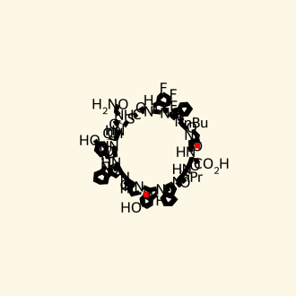 CCCC[C@H]1C(=O)N2CCC[C@@H]2C(=O)N[C@@H](CC(=O)O)C(=O)N[C@@H](C(C)C)C(=O)N(C)C(Cc2ccccc2)C(=O)N[C@@H](Cc2ccc(O)cc2)C2OC2N2CCC[C@@H]2C(=O)N[C@@H](Cc2c[nH]c3ccccc23)C(=O)N[C@@H](Cc2ccc(O)cc2)C(=O)N[C@@H](CO)C(=O)N[C@H](C(=O)NCC(N)=O)CSCC(=O)N[C@@H](Cc2cc(F)c(F)c(F)c2)C(=O)N(C)[C@@H](Cc2ccccc2)C(=O)N1C